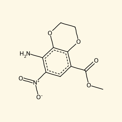 COC(=O)c1cc([N+](=O)[O-])c(N)c2c1OCCO2